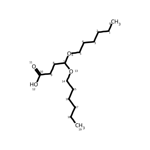 CCCCCCOC(CCC(=O)O)OCCCCCC